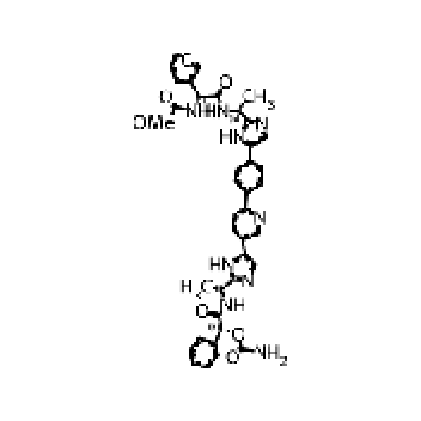 COC(=O)N[C@@H](C(=O)N[C@@H](C)c1ncc(-c2ccc(-c3ccc(-c4cnc([C@H](C)NC(=O)[C@H](OC(N)=O)c5ccccc5)[nH]4)cn3)cc2)[nH]1)c1ccccc1